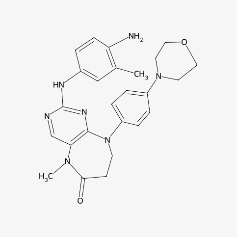 Cc1cc(Nc2ncc3c(n2)N(c2ccc(N4CCOCC4)cc2)CCC(=O)N3C)ccc1N